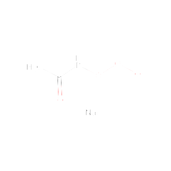 CC(=O)BOO[O-].[Na+]